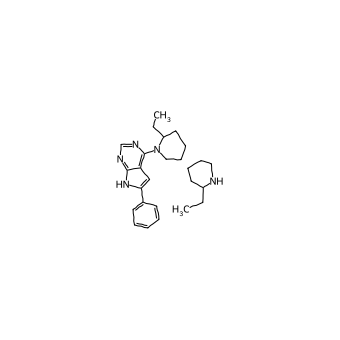 CCC1CCCCN1.CCC1CCCCN1c1ncnc2[nH]c(-c3ccccc3)cc12